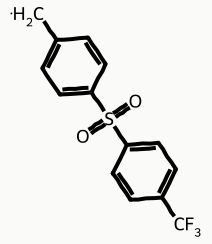 [CH2]c1ccc(S(=O)(=O)c2ccc(C(F)(F)F)cc2)cc1